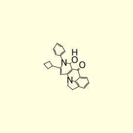 O=c1c2c(n3c4c(cccc14)CC3)C=C(C1CCC1)N(c1ccccc1)C2O